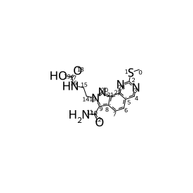 CSc1ncc2ccc3c(C(N)=O)n(CCNC(=O)O)nc3c2n1